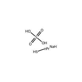 CCCS.O=S(=O)(O)O.[NaH]